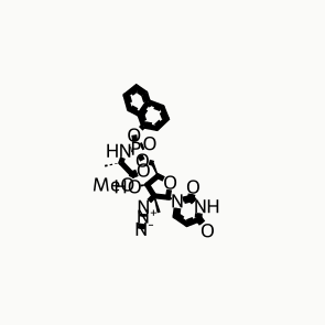 COC(=O)[C@H](C)NP(=O)(OC[C@H]1O[C@H](n2ccc(=O)[nH]c2=O)[C@](C)(N=[N+]=[N-])[C@@H]1O)Oc1cccc2ccccc12